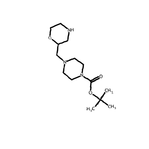 CC(C)(C)OC(=O)N1CCN(CC2CNCCO2)CC1